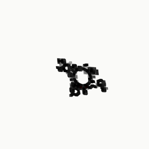 CC[C@H]1OC(=O)[C@H](C)[C@@H](O[C@H]2C[C@@](C)(OC)[C@@H](O)[C@H](C)O2)[C@H](C)[C@@H](OC2OC(C)CCC2OC(=O)CCCC[C@@H]2CCS[S+]2[O-])[C@](C)(O)C[C@@H](C)CN(C)[C@H](C)[C@@H](O)[C@]1(C)O